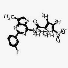 [2H]C1=C(C(=O)N([2H])c2nc(-c3cccc(F)c3)nc3c(C)csc23)[SH]([2H])([2H])([2H])C([N+](=O)[O-])=C1[2H]